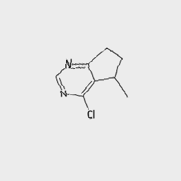 CC1CCc2ncnc(Cl)c21